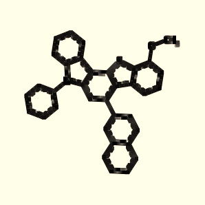 COc1cccc2c1sc1c2c(-c2ccc3ccccc3c2)cc2c1c1ccccc1n2-c1ccccc1